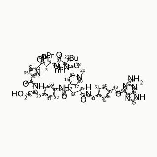 CCCO[C@H](CC(C(C)C)N(CCC)C(=O)[C@@H](NC(=O)[C@H]1CCCCN1C)[C@@H](C)CC)c1nc(C(=O)N[C@@H](Cc2ccc(NC(=O)CCCC(=O)NCc3ccc(COc4nc(N)nc5[nH]cnc45)cc3)cc2)C(=O)O)cs1